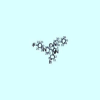 O=C(c1cnn(-c2ccc(F)cc2)c1C1CCN(Cc2cccc(F)c2)CC1)N1CC[C@H](c2ccccc2)C1